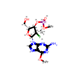 CCCOc1nc(N)nc2c1ncn2[C@@H]1O[C@H](CO)[C@@H](O[PH](=O)OC(C)C)[C@@]1(C)F